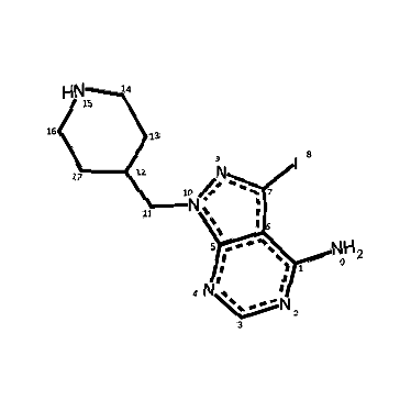 Nc1ncnc2c1c(I)nn2CC1CCNCC1